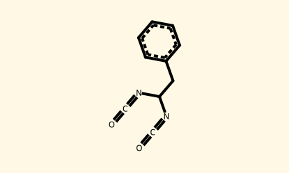 O=C=NC(Cc1ccccc1)N=C=O